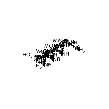 COc1ccc(NC(=O)[C@H](N)CCCNCN)cc1C(=O)N[C@H](CCCNC(=N)N)C(=O)Nc1ccc(OC)c(C(=O)N[C@H](CCCNC(=N)N)C(=O)Nc2ccc(OC)c(C(=O)N[C@H](CCCNC(=N)N)C(=O)Nc3ccc(OCC(=O)O)c(C(N)=O)c3)c2)c1